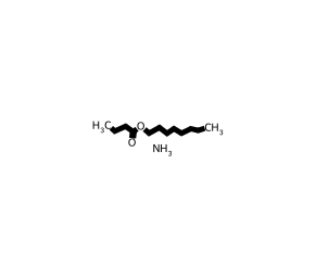 CCCCCCCCOC(=O)CCC.N